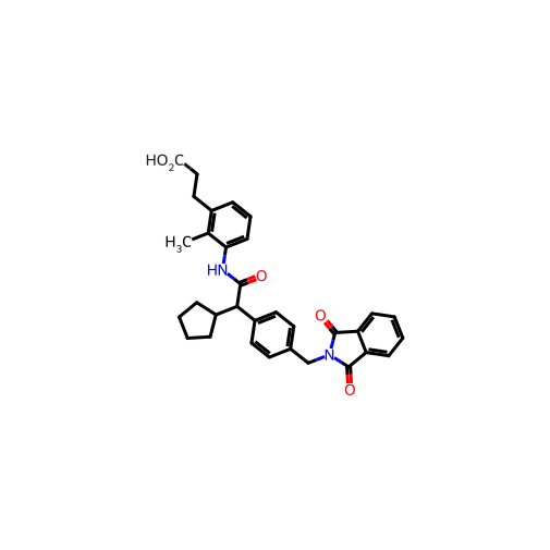 Cc1c(CCC(=O)O)cccc1NC(=O)C(c1ccc(CN2C(=O)c3ccccc3C2=O)cc1)C1CCCC1